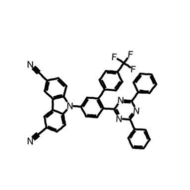 N#Cc1ccc2c(c1)c1cc(C#N)ccc1n2-c1ccc(-c2nc(-c3ccccc3)nc(-c3ccccc3)n2)c(-c2ccc(C(F)(F)F)cc2)c1